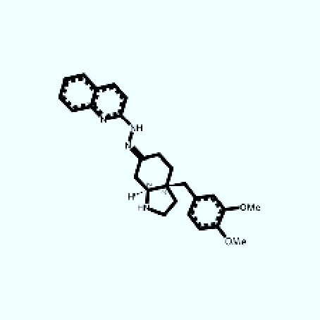 COc1ccc(C[C@@]23CCN[C@H]2CC(=NNc2ccc4ccccc4n2)CC3)cc1OC